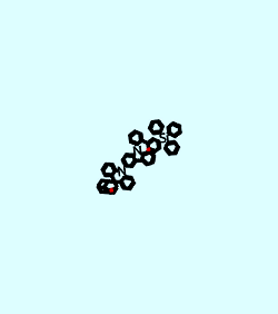 c1ccc([Si](c2ccccc2)(c2ccccc2)c2cccc(-c3ccccc3-n3c4ccccc4c4cc(N5c6ccccc6C6(c7ccccc75)C5CC7CC(C5)CC6C7)ccc43)c2)cc1